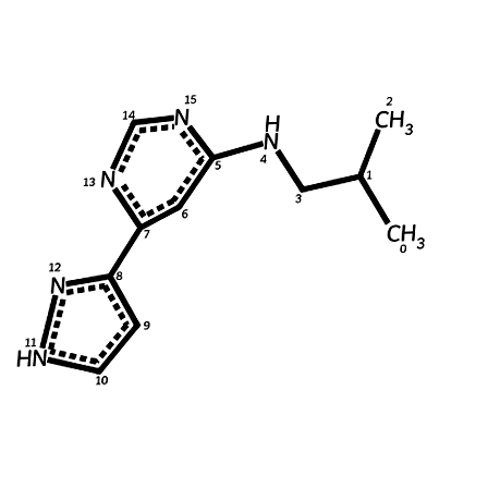 CC(C)CNc1cc(-c2cc[nH]n2)ncn1